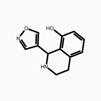 Oc1cccc2c1C(c1cnoc1)NCC2